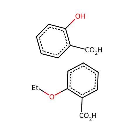 CCOc1ccccc1C(=O)O.O=C(O)c1ccccc1O